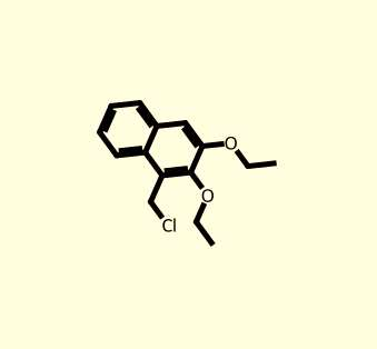 CCOc1cc2ccccc2c(CCl)c1OCC